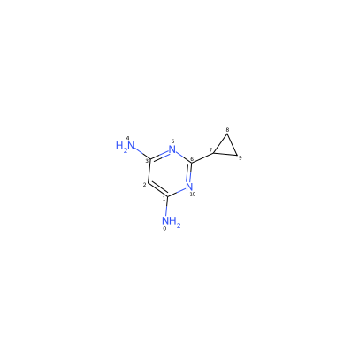 Nc1cc(N)nc(C2CC2)n1